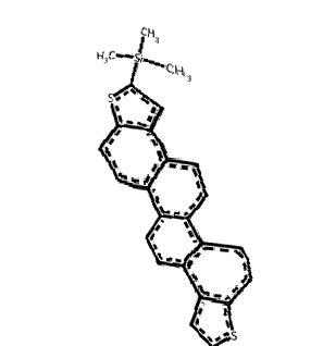 C[Si](C)(C)c1cc2c(ccc3c2ccc2c4ccc5sccc5c4ccc32)s1